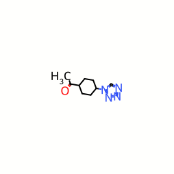 CC(=O)C1CCC(n2cnnn2)CC1